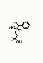 CCC(c1ccccc1)P(=O)(O)CCC(=O)O